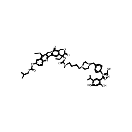 CCc1c2c(nc3ccc(OC(=O)OCC(C)C)cc13)-c1cc3c(c(=O)n1C2)COC(=O)C3(CC)OC(=O)N(C)CCCCN1CCN(Cc2ccc(-n3c(O)nnc3-c3cc(C(C)C)c(O)cc3O)cc2)CC1